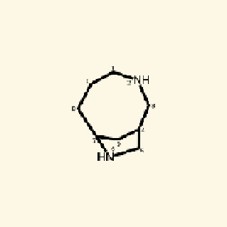 C1CNCC2CNC(C1)C2